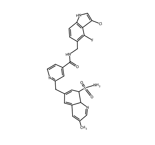 CC1=CC2=CC(Cc3cc(C(=O)NCc4ccc5[nH]cc(Cl)c5c4F)ccn3)=CC(S(N)(=O)=O)C2N=C1